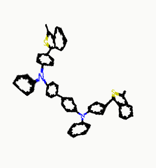 Cc1sc(-c2ccc(N(c3ccccc3)c3ccc(-c4ccc(N(c5ccccc5)c5ccc(-c6sc(C)c7ccccc67)cc5)cc4)cc3)cc2)c2ccccc12